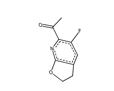 CC(=O)c1nc2c(cc1F)CCO2